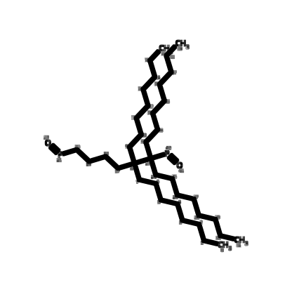 CCCCCCCCC(CCCCCCCC)(CCCCP=O)C(CCCCCCCC)(CCCCCCCC)P=O